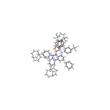 CC(C)(C)c1ccc(N2c3cc(-c4ccccc4)cc4c3B(c3oc5cc6c(cc5c32)C(C)(C)CCC6(C)C)n2c3ccc(C56CCCC(CCC5)C6)cc3c3cc(C56CCCC(CCC5)C6)cc-4c32)c(-c2ccccc2)c1